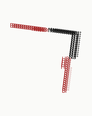 Br.Br.Br.Br.Br.Br.Br.Br.Br.Br.[Br-].[Br-].[Br-].[Br-].[Br-].[Br-].[Br-].[Br-].[Br-].[Br-].[Br-].[Br-].[Br-].[Br-].[Br-].[Br-].[Br-].[Br-].[Br-].[Br-].[Br-].[Br-].[Br-].[Br-].[Br-].[Na+].[Na+].[Na+].[Na+].[Na+].[Na+].[Na+].[Na+].[Na+].[Na+].[Na+].[Na+].[Na+].[Na+].[Na+].[Na+].[Na+].[Na+].[Na+].[Na+].[Na+].[Na+].[Na+].[Na+].[Na+]